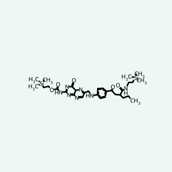 CCCC(CC(=O)c1ccc(NCC2=NC3C(=O)N=C(NC(=O)OCC[Si](C)(C)C)N=C3N=C2)cc1)C(=O)NCC[Si](C)(C)C